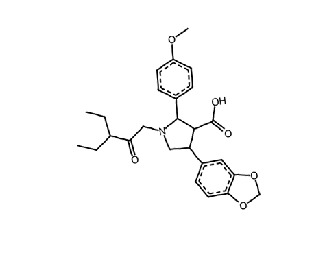 CCC(CC)C(=O)CN1CC(c2ccc3c(c2)OCO3)C(C(=O)O)C1c1ccc(OC)cc1